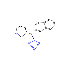 c1ccc2cc([C@H]([C@@H]3CCCNC3)n3ncnn3)ccc2c1